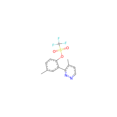 Cc1ccc(OS(=O)(=O)C(F)(F)F)c(-c2nnccc2C)c1